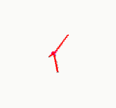 CCCCCCCCCCCCCCCCCCC[n+]1ccn(CCCC)c1CCCCCCCCCCCCCCCC